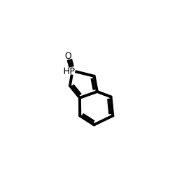 O=[PH]1C=c2ccccc2=C1